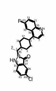 C[C@H](C1CCC(c2ccnc3ccc(F)cc23)CC1)n1[nH]c2ccc(Cl)cc2c1=O